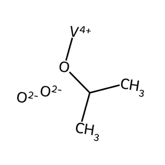 CC(C)[O][V+4].[O-2].[O-2]